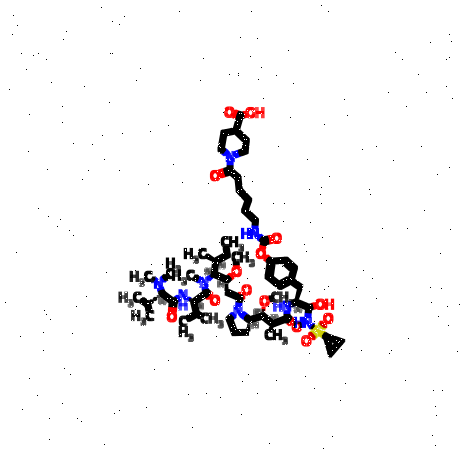 CC[C@H](C)[C@@H]([C@@H](CC(=O)N1CCC[C@H]1[C@H](OC)[C@@H](C)C(=O)N[C@@H](Cc1ccc(OC(=O)NCCCCCC(=O)N2CCC(C(=O)O)CC2)cc1)C(O)NS(=O)(=O)C1CC1)OC)N(C)C(=O)[C@@H](NC(=O)[C@H](C(C)C)N(C)C)C(C)C